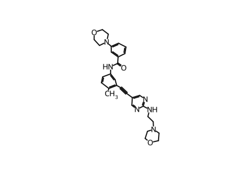 Cc1ccc(NC(=O)c2cccc(N3CCOCC3)c2)cc1C#Cc1cnc(NCCN2CCOCC2)nc1